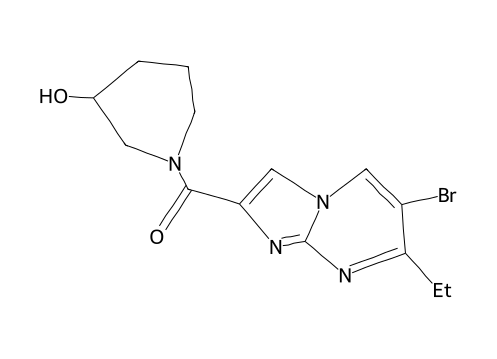 CCc1nc2nc(C(=O)N3CCCC(O)C3)cn2cc1Br